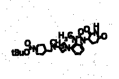 CN(CC1CCN(C(=O)OC(C)(C)C)CC1)C1CN(c2cccc3c2n(C)c(=O)n3C2CCC(=O)NC2=O)C1